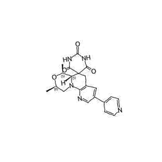 C[C@@H]1CN2c3ncc(-c4ccncc4)cc3CC3(C(=O)NC(=O)NC3=O)[C@H]2[C@H](C)O1